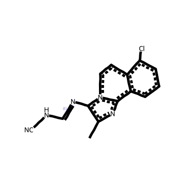 Cc1nc2c3cccc(Cl)c3ccn2c1/N=C/NC#N